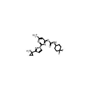 Cc1cc(OC(=O)NC2CCC(F)(F)CC2)nc(-n2ccc(C3(N)CC3)n2)n1